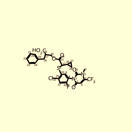 Cn1c(C(F)(F)F)cc(=O)n(-c2cc(SC(C(=O)OCC(Cc3ccccc3)C(=O)O)C3CC3)c(Cl)cc2F)c1=O